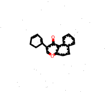 O=c1c(C2=CC=CCC2)coc2ccc3ccccc3c12